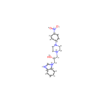 O=[N+]([O-])c1ccc(N2CCN(CC(O)Cn3cnc4ccccc43)CC2)cc1